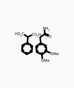 COc1ccc(CC(N)=O)cc1OC.O=C(O)C(C(=O)O)c1ccccc1